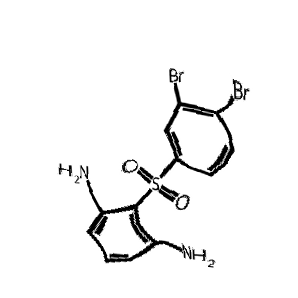 Nc1cccc(N)c1S(=O)(=O)c1ccc(Br)c(Br)c1